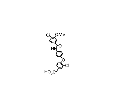 COc1cc(C(=O)Nc2ccc(Oc3ccc(CC(=O)O)cc3Cl)cc2)ccc1Cl